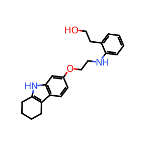 OCCc1ccccc1NCCOc1ccc2c3c([nH]c2c1)CCCC3